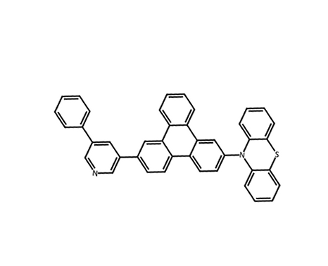 c1ccc(-c2cncc(-c3ccc4c5ccc(N6c7ccccc7Sc7ccccc76)cc5c5ccccc5c4c3)c2)cc1